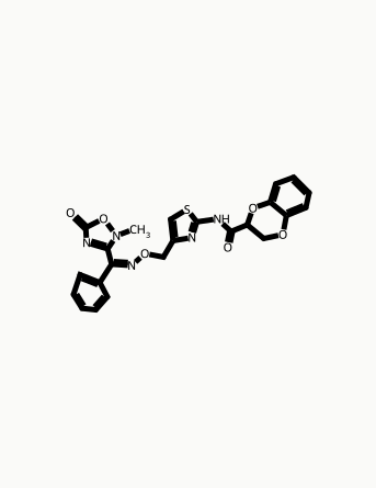 Cn1oc(=O)nc1C(=NOCc1csc(NC(=O)C2COc3ccccc3O2)n1)c1ccccc1